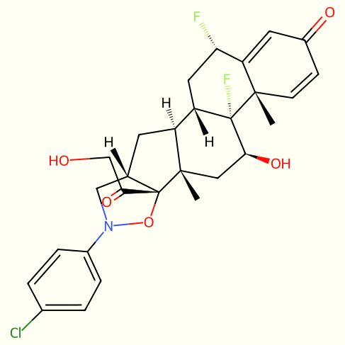 C[C@]12C=CC(=O)C=C1[C@@H](F)C[C@H]1[C@@H]3C[C@H]4CN(c5ccc(Cl)cc5)O[C@@]4(C(=O)CO)[C@@]3(C)C[C@H](O)[C@@]12F